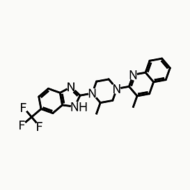 Cc1cc2ccccc2nc1N1CCN(c2nc3ccc(C(F)(F)F)cc3[nH]2)C(C)C1